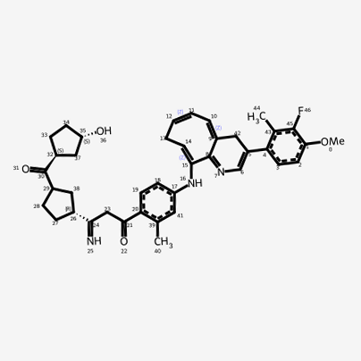 COc1ccc(C2=CN=C3/C(=C\C=C/C/C=C/3Nc3ccc(C(=O)CC(=N)[C@@H]4CCC(C(=O)[C@H]5CC[C@H](O)C5)C4)c(C)c3)C2)c(C)c1F